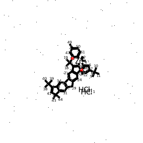 Cl.Cl.[CH2]=[Zr]([CH3])([C]1=CC(C(C)(C)C)=CC1)([C]1=C(C(C)(C)C)c2cc3c(cc2C1(C)C)Cc1cc2c(cc1-3)C(C(C)(C)C)=CC2(C)C)[c]1ccc(C)cc1